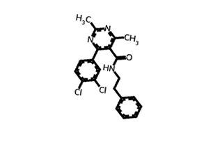 Cc1nc(C)c(C(=O)NCCc2ccccc2)c(-c2ccc(Cl)c(Cl)c2)n1